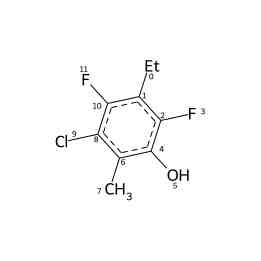 CCc1c(F)c(O)c(C)c(Cl)c1F